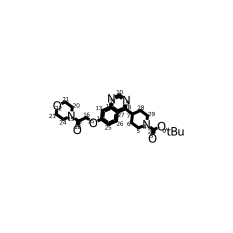 CC(C)(C)OC(=O)N1CCC(c2ncnc3cc(OCC(=O)N4CCOCC4)ccc23)CC1